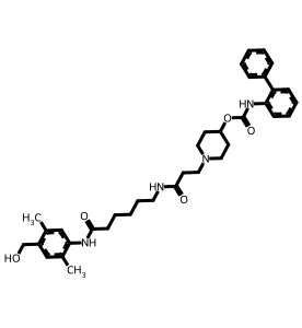 Cc1cc(NC(=O)CCCCCNC(=O)CCN2CCC(OC(=O)Nc3ccccc3-c3ccccc3)CC2)c(C)cc1CO